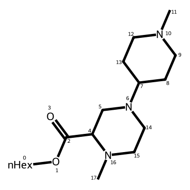 CCCCCCOC(=O)C1CN(C2CCN(C)CC2)CCN1C